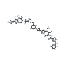 CN1C(=O)[C@@H](NC(=O)c2ncn(Cc3cccc(N4CC(c5cc6n(n5)CC[C@@H](NC(=O)c5ncn(Cc7ccccc7)n5)C(=O)N6C)C4)c3)n2)CCn2nc(C3CNC3)cc21